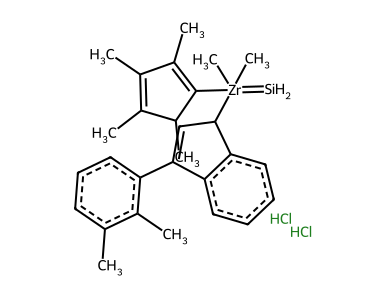 CC1=C(C)C(C)[C]([Zr]([CH3])([CH3])(=[SiH2])[CH]2C=C(c3cccc(C)c3C)c3ccccc32)=C1C.Cl.Cl